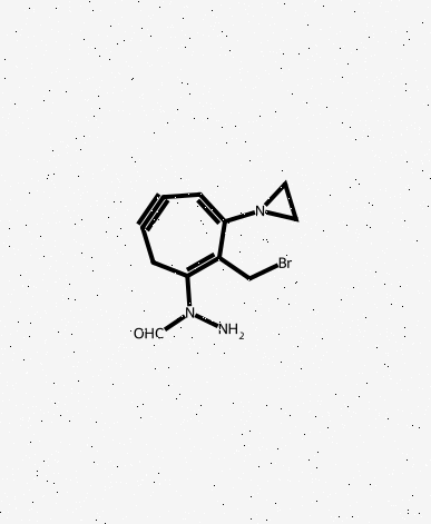 NN(C=O)C1=C(CBr)C(N2CC2)=CC#CC1